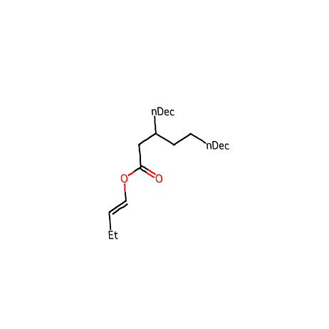 CCC=COC(=O)CC(CCCCCCCCCC)CCCCCCCCCCCC